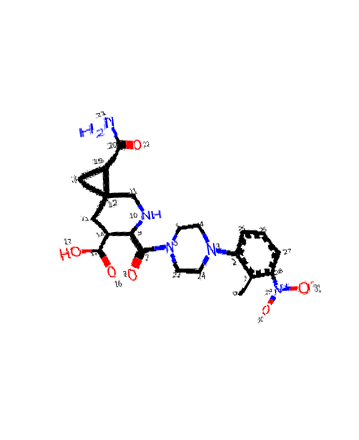 Cc1c(N2CCN(C(=O)C3NCC4(CC3C(=O)O)CC4C(N)=O)CC2)cccc1[N+](=O)[O-]